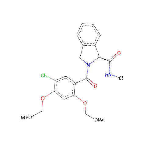 CCNC(=O)C1c2ccccc2CN1C(=O)c1cc(Cl)c(OCOC)cc1OCOC